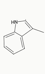 Cc1[c][nH]c2ccccc12